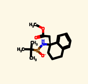 COC(=O)C[C@]1(N[S+]([O-])C(C)(C)C)CCCc2ccccc21